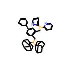 c1ccc(-c2ccc(CP(C34CC5CC(CC(C5)C3)C4)C34CC5CC(CC(C5)C3)C4)c(CP(c3ccccn3)c3ccccn3)c2)cc1